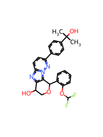 CC(C)(O)c1ccc(-c2ccc3nc4c(n3n2)C(c2ccccc2OC(F)F)OCC4O)cc1